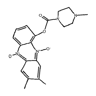 Cc1cc2c(cc1C)[n+]([O-])c1c(OC(=O)N3CCN(C)CC3)cccc1[n+]2[O-]